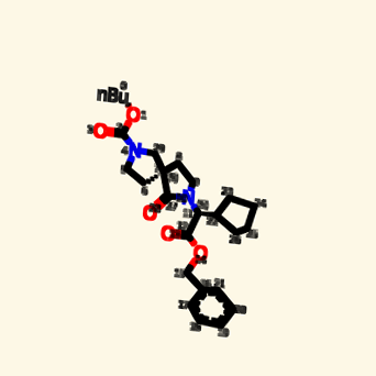 CCCCOC(=O)N1CC[C@@]2(CCN([C@H](C(=O)OCc3ccccc3)C3CCCC3)C2=O)C1